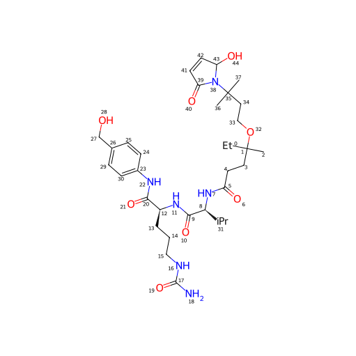 CCC(C)(CCC(=O)N[C@H](C(=O)N[C@@H](CCCNC(N)=O)C(=O)Nc1ccc(CO)cc1)C(C)C)OCCC(C)(C)N1C(=O)C=CC1O